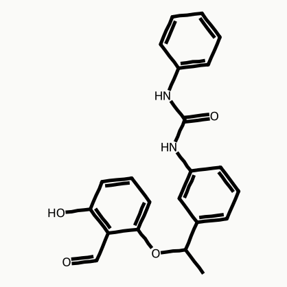 CC(Oc1cccc(O)c1C=O)c1cccc(NC(=O)Nc2ccccc2)c1